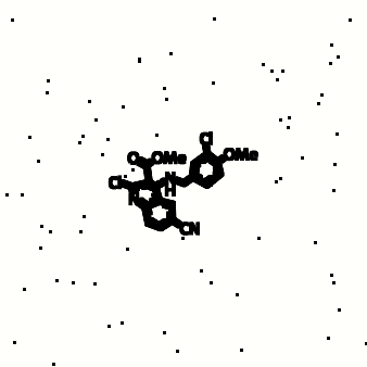 COC(=O)c1c(Cl)nc2ccc(C#N)cc2c1NCc1ccc(OC)c(Cl)c1